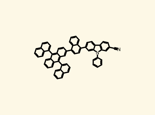 N#Cc1ccc2c3ccc(-c4ccc(-c5ccc6c(-c7cccc8ccccc78)c7ccccc7c(-c7cccc8ccccc78)c6c5)c5ccccc45)cc3n(-c3ccccc3)c2c1